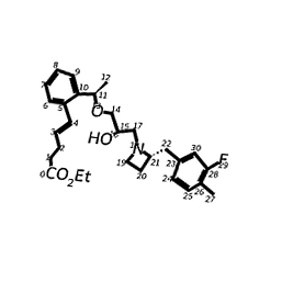 CCOC(=O)CC/C=C/c1ccccc1[C@@H](C)OC[C@H](O)CN1CC[C@H]1Cc1ccc(C)c(F)c1